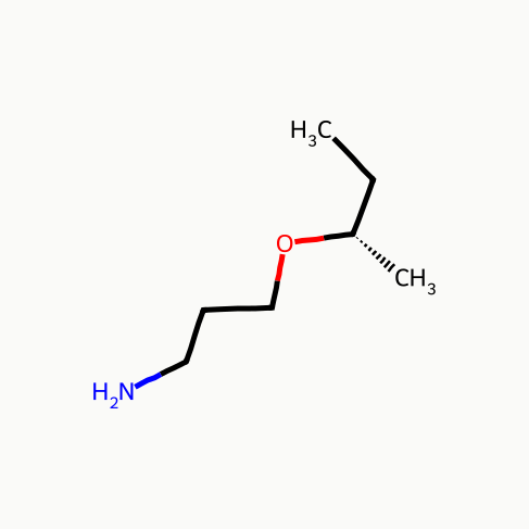 CC[C@H](C)OCCCN